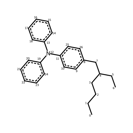 CCCCC(CC)Cc1ccc(N(c2ccccc2)c2ccccc2)cc1